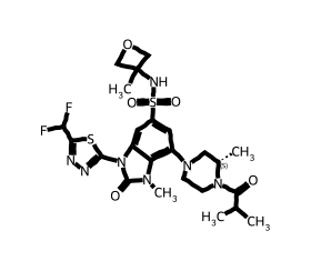 CC(C)C(=O)N1CCN(c2cc(S(=O)(=O)NC3(C)COC3)cc3c2n(C)c(=O)n3-c2nnc(C(F)F)s2)C[C@@H]1C